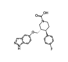 O=C(O)N1CC[C@@H](c2ccc(F)cc2)[C@H](COc2ccc3[nH]ncc3c2)C1